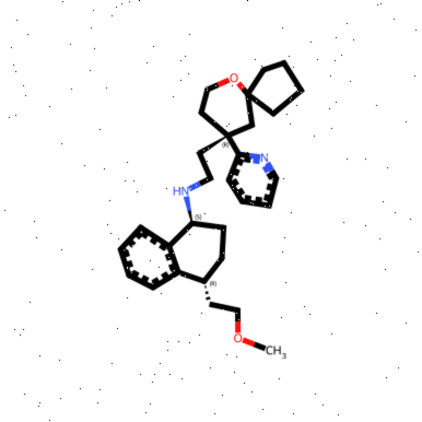 COCC[C@H]1CC[C@H](NCC[C@@]2(c3ccccn3)CCOC3(CCCC3)C2)c2ccccc21